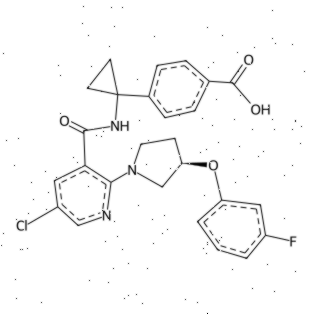 O=C(O)c1ccc(C2(NC(=O)c3cc(Cl)cnc3N3CC[C@@H](Oc4cccc(F)c4)C3)CC2)cc1